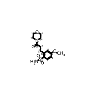 COc1ccc(S(N)(=O)=O)c(CCC(=O)N2CCOCC2)c1